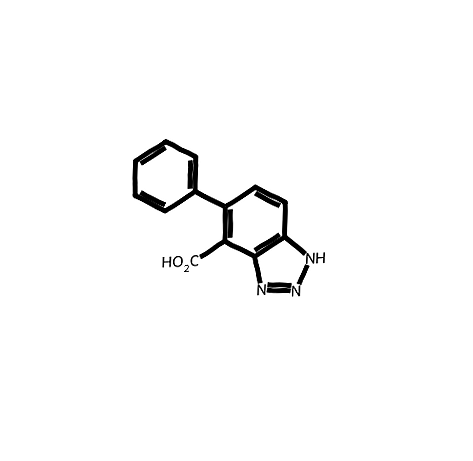 O=C(O)c1c(-c2ccccc2)ccc2[nH]nnc12